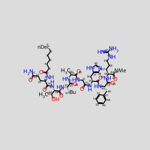 CCCCCCCCCCCCCCCC(=O)NC(CCC(N)=O)C(=O)N[C@H](C(=O)N[C@H](C(=O)N[C@@H](C)C(=O)NCC(=O)N[C@@H](Cc1cnc[nH]1)C(=O)N[C@@H](Cc1ccccc1)C(=O)N[C@@H](CCCNC(=N)N)C(=O)NC)[C@@H](C)CC)[C@@H](C)O